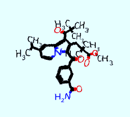 COC(=O)C(C)(C)Cc1c(C(=O)C(C)(C)C)c2cc(C(C)C)ccn2c1C(=O)c1cccc(C(N)=O)c1